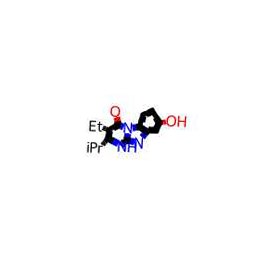 CCc1c(C(C)C)[nH]c2nc3cc(O)ccc3n2c1=O